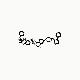 CC(CSc1ccccc1)Nc1ccc(S(=O)(=O)Nc2ncnc3cc(N4CCN(Cc5ccccc5-c5ccccc5)CC4)ccc23)cc1[N+](=O)[O-]